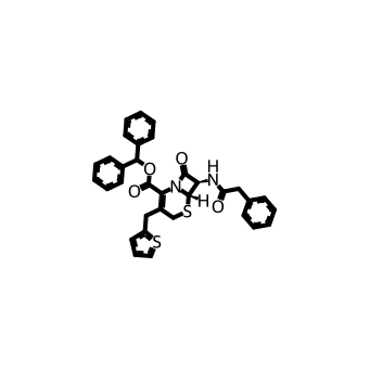 O=C(Cc1ccccc1)N[C@@H]1C(=O)N2C(C(=O)OC(c3ccccc3)c3ccccc3)=C(Cc3cccs3)CS[C@@H]12